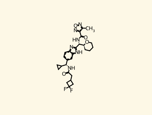 Cc1nonc1C(=O)N[C@@H](c1nc2ccc([C@H](NC(=O)CC3CC(F)(F)C3)C3CC3)cc2[nH]1)[C@@H]1CCCCO1